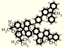 CC(C)(C)c1cccc(C2(c3cccc(C(C)(C)C)c3)c3ccccc3-c3c(N(c4ccc(-c5ccc6c(c5)C(C)(c5ccccc5)c5ccccc5-6)cc4)c4ccc(-c5ccccc5-c5cccc6c5C(C)(C)c5ccccc5-6)cc4)cccc32)c1